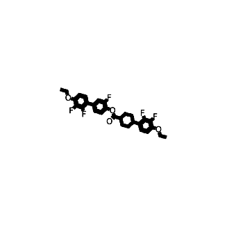 CCOc1ccc(-c2ccc(OC(=O)C3CCC(c4ccc(OCC)c(F)c4F)CC3)c(F)c2)c(F)c1F